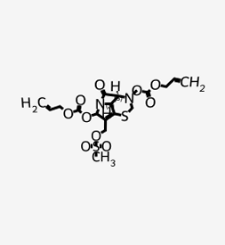 C=CCOC(=O)OC1C(COS(C)(=O)=O)=C2SCN(OC(=O)OCC=C)[C@@H]3C(=O)N1[C@H]23